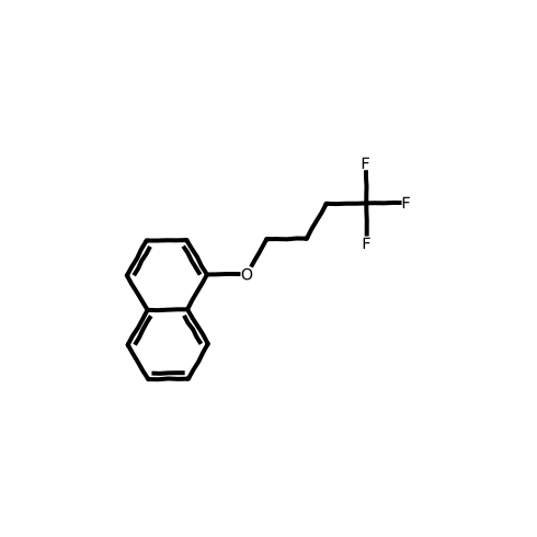 FC(F)(F)CCCOc1cccc2ccccc12